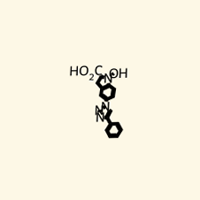 O=C(O)C1Cc2cc(-n3cc(-c4ccccc4)nn3)ccc2N1O